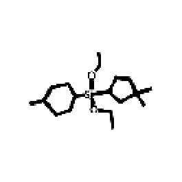 CCO[Si](OCC)(C1CCC(C)CC1)C1CCC(C)(C)C1